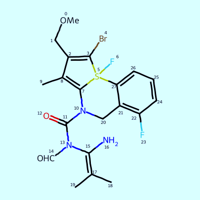 COCC1=C(Br)S2(F)C(=C1C)N(C(=O)N(C=O)C(N)=C(C)C)Cc1c(F)cccc12